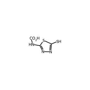 O=C(O)Nc1nnc(S)s1